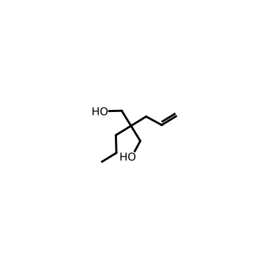 C=CCC(CO)(CO)CCC